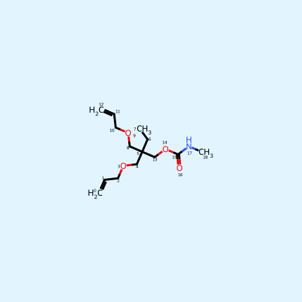 C=CCOCC(CC)(COCC=C)COC(=O)NC